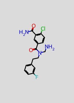 NCN(CCc1cccc(F)c1)C(=O)c1ccc(Cl)c(C(N)=O)c1